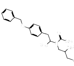 CC(C)CC(N)CN(C(N)=O)C(Cc1ccc(OCc2ccccc2)cc1)C(C)(C)C